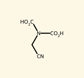 N#CCN(C(=O)O)C(=O)O